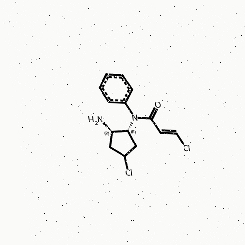 N[C@@H]1CC(Cl)C[C@H]1N(C(=O)C=CCl)c1ccccc1